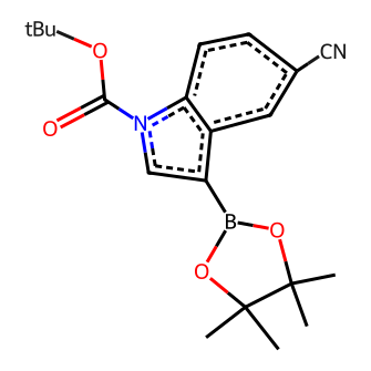 CC(C)(C)OC(=O)n1cc(B2OC(C)(C)C(C)(C)O2)c2cc(C#N)ccc21